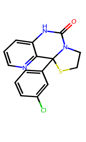 O=C1Nc2cccnc2C2(c3cccc(Cl)c3)SCCN12